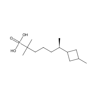 CC1CC([C@H](C)CCCC(C)(C)P(=O)(O)O)C1